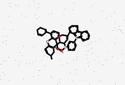 CC1C=CC2=C(C1)C1(C3=CCCCC3OC3C=C(c4cccc5c6ccccc6n(-c6ccccc6)c45)CCC31)c1cccc(C3=CCCC=C3)c1O2